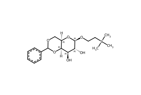 C[Si](C)(C)CCO[C@@H]1O[C@@H]2COC(c3ccccc3)O[C@@H]2[C@H](O)[C@H]1O